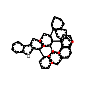 c1ccc(-c2ccccc2-c2c(-c3ccccc3)cccc2N(c2ccccc2-c2cccc3c2oc2ccccc23)c2cccc3sc4ccccc4c23)cc1